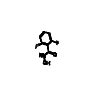 O=C(NO)c1c(F)cccc1F